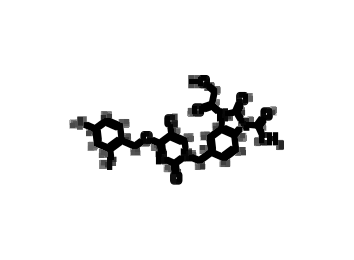 CC(=O)n1c(=O)n(C(=O)CO)c2cc(Cn3cc(Cl)c(OCc4ccc(F)cc4F)nc3=O)ccc21